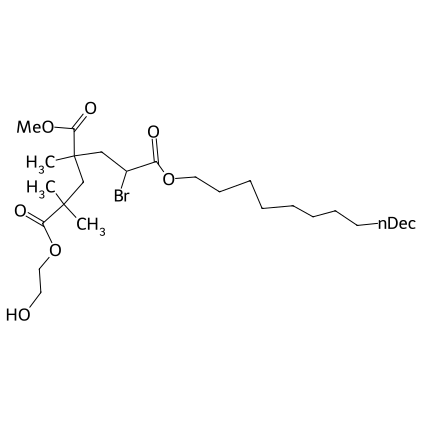 CCCCCCCCCCCCCCCCCCOC(=O)C(Br)CC(C)(CC(C)(C)C(=O)OCCO)C(=O)OC